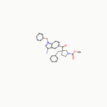 CC(C)(C)OC(=O)N1CCC(Cc2ccccc2)(C(=O)c2ccc3c(c2)c(I)cn3Sc2ccccc2)C1